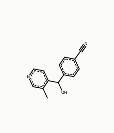 Cc1cnccc1C(O)c1ccc(C#N)cc1